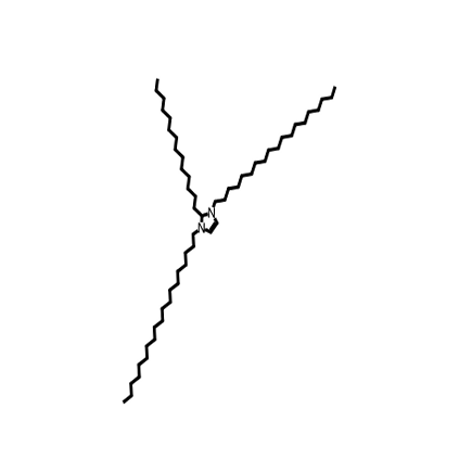 CCCCCCCCCCCCCCCCCCCN1C=CN(CCCCCCCCCCCCCCCCCCC)C1CCCCCCCCCCCCCC